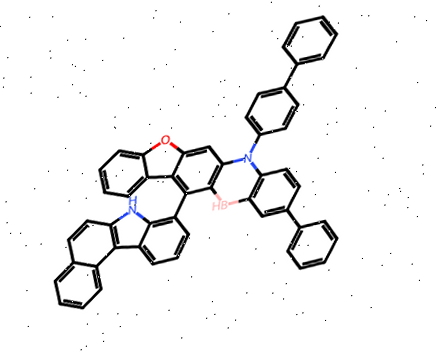 B1c2cc(-c3ccccc3)ccc2N(c2ccc(-c3ccccc3)cc2)c2cc3oc4ccccc4c3c(-c3cccc4c3[nH]c3ccc5ccccc5c34)c21